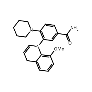 COc1cccc2c1N(c1cc(C(N)=O)ccc1N1CCCCC1)C=CC2